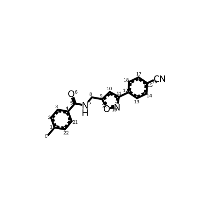 Cc1ccc(C(=O)NCc2cc(-c3ccc(C#N)cc3)no2)cc1